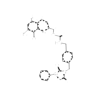 O=C(NCc1ccc(Cn2c(=O)sn(-c3ccccc3)c2=O)cc1)OCc1ccc2c(Cl)cc(Cl)c(O)c2n1